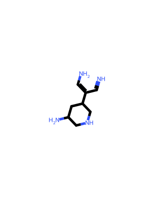 N=C/C(=C\N)C1CNCC(N)C1